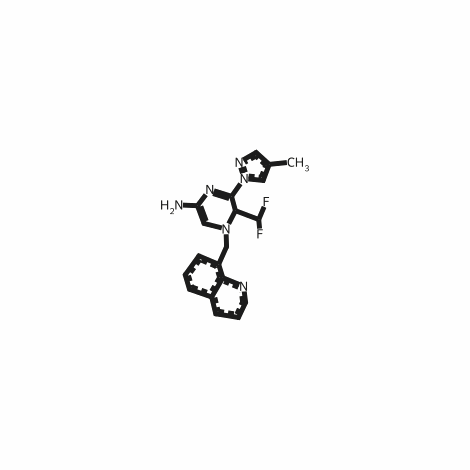 Cc1cnn(C2=NC(N)=CN(Cc3cccc4cccnc34)C2C(F)F)c1